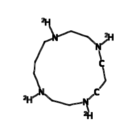 [2H]N1CCCN([2H])CCN([2H])CCCN([2H])CC1